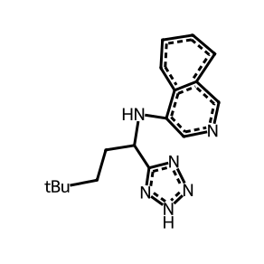 CC(C)(C)CCC(Nc1cncc2ccccc12)c1nn[nH]n1